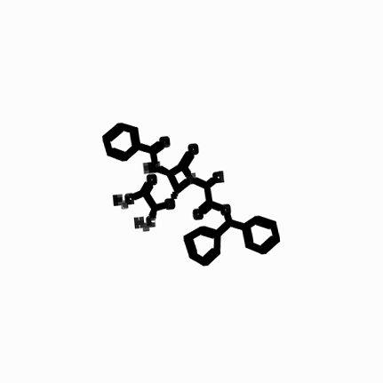 CC(=O)[C@H](C)O[C@@H]1[C@@H](NC(=O)c2ccccc2)C(=O)N1C(Cl)C(=O)OC(c1ccccc1)c1ccccc1